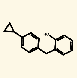 Oc1ccccc1Cc1ccc(C2CC2)cc1